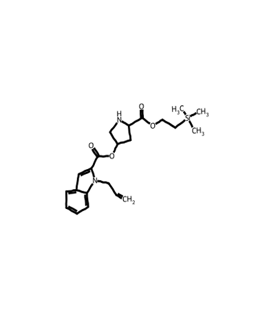 C=CCn1c(C(=O)OC2CNC(C(=O)OCC[Si](C)(C)C)C2)cc2ccccc21